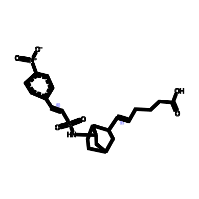 O=C(O)CCC/C=C/C1CC2CCC1C(NS(=O)(=O)/C=C/c1ccc([N+](=O)[O-])cc1)C2